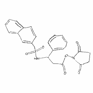 O=C(CC(NS(=O)(=O)c1ccc2ccccc2c1)c1ccccc1)ON1C(=O)CCC1=O